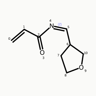 C=CC(=O)/N=C\C1CCOC1